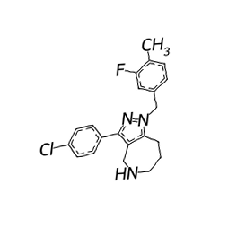 Cc1ccc(Cn2nc(-c3ccc(Cl)cc3)c3c2CCCNC3)cc1F